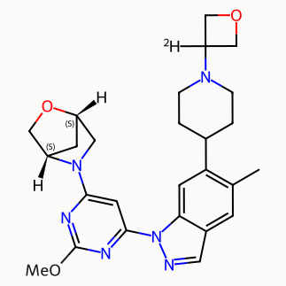 [2H]C1(N2CCC(c3cc4c(cnn4-c4cc(N5C[C@@H]6C[C@H]5CO6)nc(OC)n4)cc3C)CC2)COC1